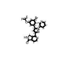 O=C1NCc2c1ccnc2-c1cc(-c2cc(Br)cc(OC(F)F)c2)n(-c2cccnc2)n1